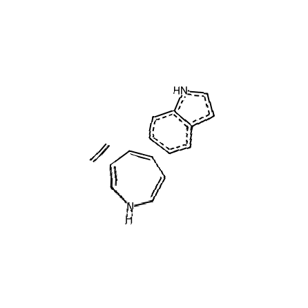 C1=CC=CNC=C1.C=C.c1ccc2[nH]ccc2c1